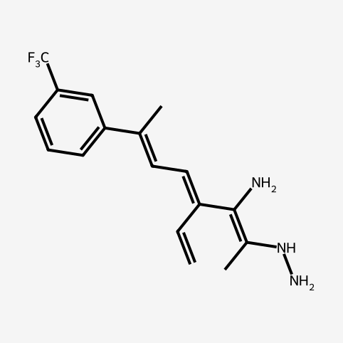 C=CC(=C\C=C(/C)c1cccc(C(F)(F)F)c1)/C(N)=C(\C)NN